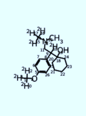 [2H]C([2H])([2H])Oc1ccc(C([2H])(CN(C)C([2H])([2H])[2H])C2(O)CCCCC2)cc1